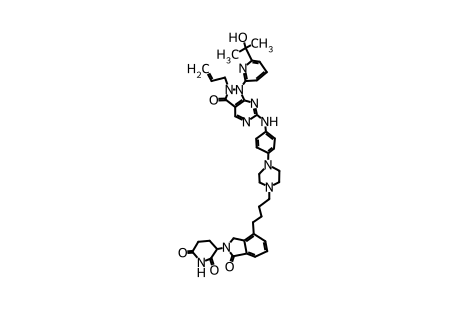 C=CCn1c(=O)c2cnc(Nc3ccc(N4CCN(CCCCc5cccc6c5CN(C5CCC(=O)NC5=O)C6=O)CC4)cc3)nc2n1-c1cccc(C(C)(C)O)n1